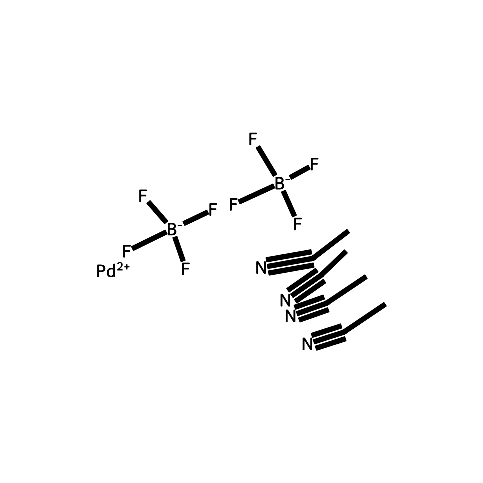 CC#N.CC#N.CC#N.CC#N.F[B-](F)(F)F.F[B-](F)(F)F.[Pd+2]